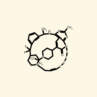 Cc1nc2c3cc(C4CCN(C(C)C)CC4)c(=O)n(c3n1)CCCC/C=C\CN1CCC(CC1)C(F)(F)c1cccc(c1)C(C)N2